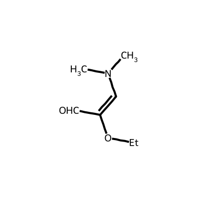 CCOC(C=O)=CN(C)C